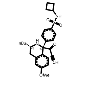 C#CC(=O)[C@@]1(c2ccc(S(=O)(=O)NC3CCC3)cc2)N[C@@H](CCCC)Cc2cc(OC)ccc21